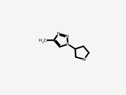 Cc1cn(C2CC[N]C2)nn1